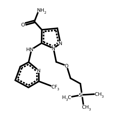 C[Si](C)(C)CCOCn1ncc(C(N)=O)c1Nc1cccc(C(F)(F)F)n1